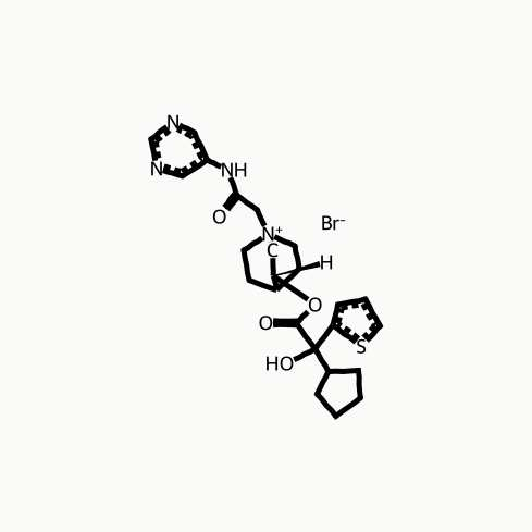 O=C(C[N+]12CCC(CC1)[C@@H](OC(=O)C(O)(c1cccs1)C1CCCC1)C2)Nc1cncnc1.[Br-]